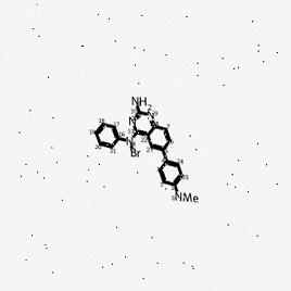 CNc1ccc(-c2ccc3nc(N)nc(N(Br)c4ccccc4)c3c2)cc1